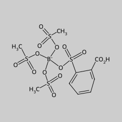 CS(=O)(=O)O[B-](OS(C)(=O)=O)(OS(C)(=O)=O)OS(=O)(=O)c1ccccc1C(=O)O